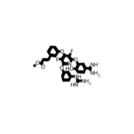 COC(=O)C=Cc1cccc(Oc2c(F)c(Oc3cccc(NC(=N)N)c3)nc(Oc3cc(C(=N)N)ccc3O)c2F)c1